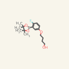 CC1(C)OB(c2cc(OCCCCO)ccc2F)OC1(C)C